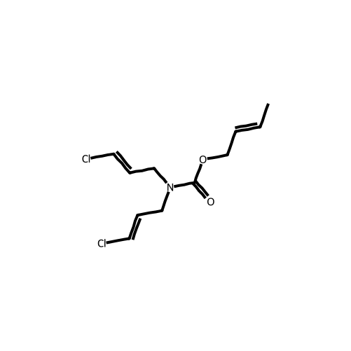 CC=CCOC(=O)N(CC=CCl)CC=CCl